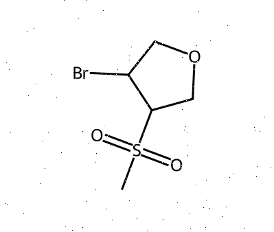 CS(=O)(=O)C1COCC1Br